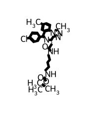 Cc1ccc2c(c1)C(c1ccc(Cl)cc1)=N[C@@H](CC(=O)NCCCCCNC(=O)OC(C)(C)C)c1nnc(C)n1-2